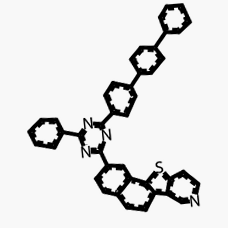 c1ccc(-c2ccc(-c3ccc(-c4nc(-c5ccccc5)nc(-c5ccc6ccc7c8cnccc8sc7c6c5)n4)cc3)cc2)cc1